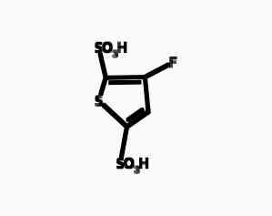 O=S(=O)(O)c1cc(F)c(S(=O)(=O)O)s1